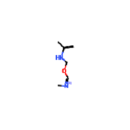 C=C(C)NCO/C=N\C